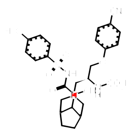 Cc1ccc(S(=O)(=O)NC(=O)N(C)C2C3CCC2CN(C[C@@H](COc2ccc(C#N)cc2)NC(=O)O)C3)cc1